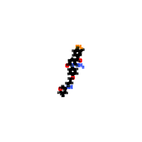 Cc1cc(C(=O)c2ccc(=O)n(-c3ccc(OCCCN[C@H](C=O)CC(C)C)cc3)c2N)ccc1P